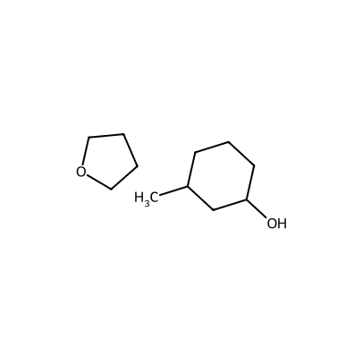 C1CCOC1.CC1CCCC(O)C1